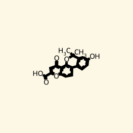 CC1(C)Oc2c(ccc3oc(C(=O)O)cc(=O)c23)-c2ccc(O)cc21